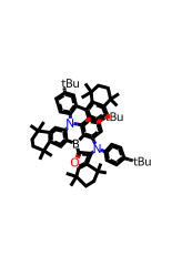 CC(C)(C)c1ccc(N2c3cc(C(C)(C)C)cc4c3B(c3cc5c(cc3N4c3ccc(C(C)(C)C)cc3-c3cccc4c3C(C)(C)CCC4(C)C)C(C)(C)CCC5(C)C)c3oc4c(c32)C(C)(C)CCC4(C)C)cc1